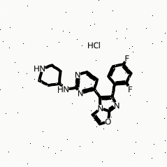 Cl.Fc1ccc(-c2nc3occn3c2-c2ccnc(NC3CCNCC3)n2)c(F)c1